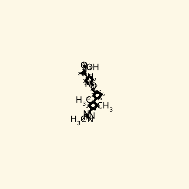 Cc1cc(-c2nnn(C)n2)cc(C)c1-c1cccc(COc2cnc([C@@H]3C[C@H]3C(=O)O)cn2)c1